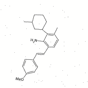 COc1ccc(C=Cc2ccc(C)c(C3CCCC(C)C3)c2N)cc1